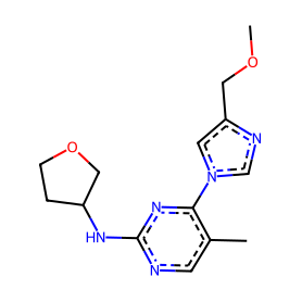 COCc1cn(-c2nc(NC3CCOC3)ncc2C)cn1